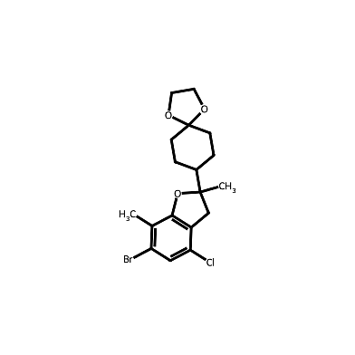 Cc1c(Br)cc(Cl)c2c1OC(C)(C1CCC3(CC1)OCCO3)C2